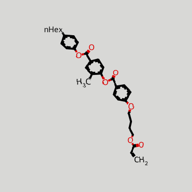 C=CC(=O)OCCCCOc1ccc(C(=O)Oc2ccc(C(=O)Oc3ccc(CCCCCC)cc3)cc2C)cc1